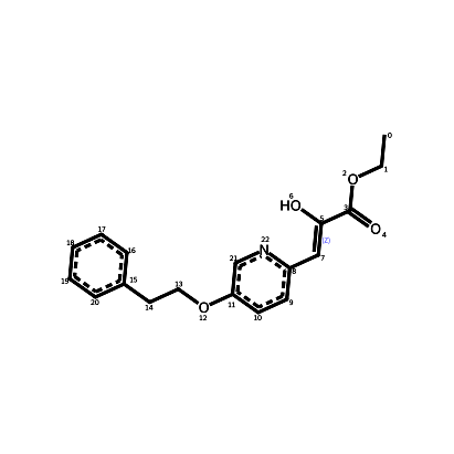 CCOC(=O)/C(O)=C/c1ccc(OCCc2ccccc2)cn1